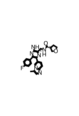 Cc1cnc2ccc(-c3nc(CNC(=O)[C@H]4CCOC4)c(N)nc3-c3ccc(F)cc3)cn12